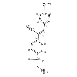 COc1ccc(/C=C(\C#N)c2ccc(C(C)(C)CN)cc2)cc1